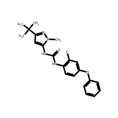 Cn1nc(C(C)(C)C)cc1NC(=O)Nc1ccc(Oc2ccccc2)cc1F